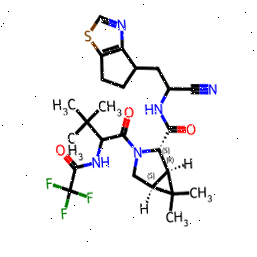 CC(C)(C)C(NC(=O)C(F)(F)F)C(=O)N1C[C@H]2[C@@H]([C@H]1C(=O)NC(C#N)CC1CCc3scnc31)C2(C)C